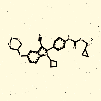 C[C@@H](OC(=O)Nc1ccc(-c2c(C#N)c3cc(OC4COCOC4)ccc3n2C2CCC2)cc1)C1CC1